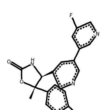 C[C@@]1(c2ccc(F)cc2)OC(=O)N[C@H]1c1cncc(-c2cncc(F)c2)c1